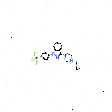 FC(F)(F)c1ccc(-n2nc(N3CCN(CC4CC4)CC3)c3ccccc32)cc1